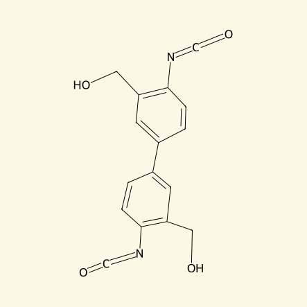 O=C=Nc1ccc(-c2ccc(N=C=O)c(CO)c2)cc1CO